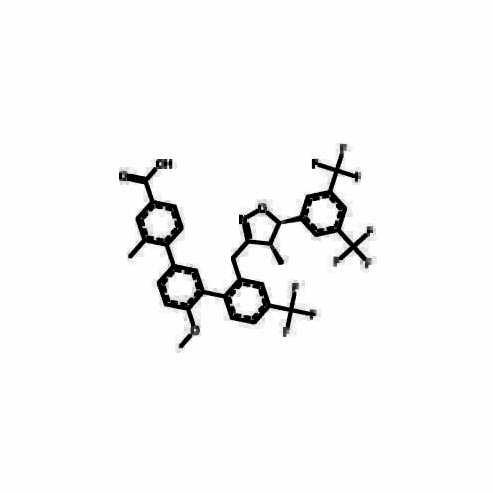 COc1ccc(-c2ccc(C(=O)O)cc2C)cc1-c1ccc(C(F)(F)F)cc1CC1=NO[C@@H](c2cc(C(F)(F)F)cc(C(F)(F)F)c2)[C@H]1C